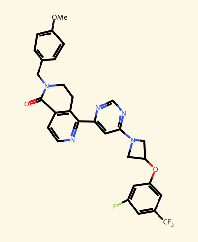 COc1ccc(CN2CCc3c(ccnc3-c3cc(N4CC(Oc5cc(F)cc(C(F)(F)F)c5)C4)ncn3)C2=O)cc1